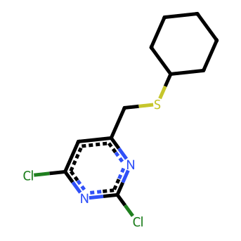 Clc1cc(CSC2CCCCC2)nc(Cl)n1